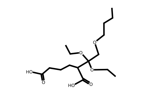 CCCCOCC(OCC)(OCC)C(CCCC(=O)O)C(=O)O